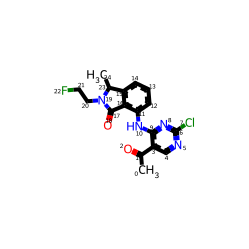 CC(=O)c1cnc(Cl)nc1Nc1cccc2c1C(=O)N(CCF)C2C